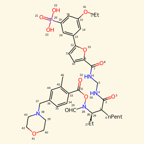 CCCCCC(C(=O)NCNC(=O)c1ccc(-c2cc(OCC)cc(P(=O)(O)O)c2)o1)[C@@H](CC)N(C=O)OC(=O)c1ccc(CN2CCOCC2)cc1C